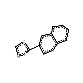 [c]1nnc(-c2ccc3ccccc3c2)o1